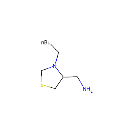 CCCCCN1CSCC1CN